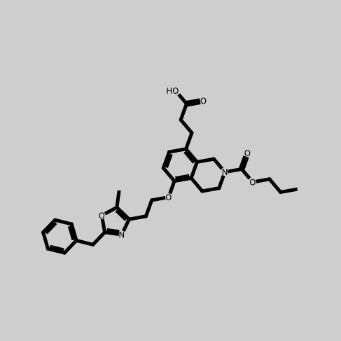 CCCOC(=O)N1CCc2c(OCCc3nc(Cc4ccccc4)oc3C)ccc(CCC(=O)O)c2C1